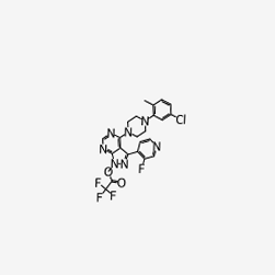 Cc1ccc(Cl)cc1N1CCN(c2ncnc3c2c(-c2ccncc2F)nn3OC(=O)C(F)(F)F)CC1